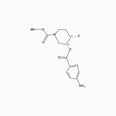 CC(C)(C)OC(=O)N1CC[C@H](F)[C@H](OC(=O)c2ccc([N+](=O)[O-])cc2)C1